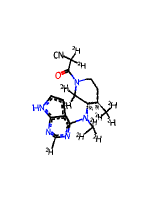 [2H]c1nc(N([C@@H]2[C@H](C([2H])([2H])[2H])CCN(C(=O)C([2H])([2H])[N+]#[C-])C2([2H])[2H])C([2H])([2H])[2H])c2cc[nH]c2n1